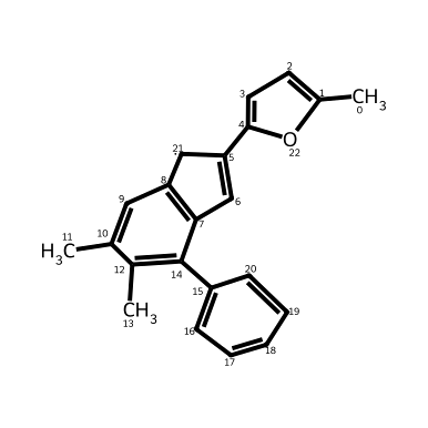 Cc1ccc(C2=Cc3c(cc(C)c(C)c3-c3ccccc3)[CH]2)o1